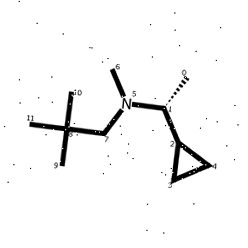 C[C@H](C1CC1)N(C)CC(C)(C)C